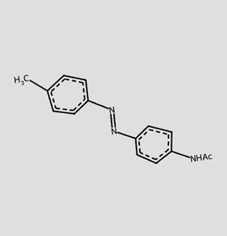 CC(=O)Nc1ccc(N=Nc2ccc(C)cc2)cc1